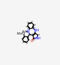 COc1ccccc1C1C2=C(CNC2=O)Nc2ccccc2N1C(C)=O